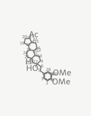 COc1ccc(CC[C@@]2(O)CC[C@]3(C)C4CC[C@@]5(C)C(CC[C@@H]5C(C)=O)C4CC[C@@H]3C2)cc1OC